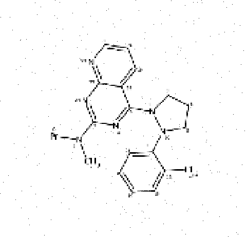 CC(C)N(C)c1nc(N2CCCN2c2ccccc2C(F)(F)F)c2cccnc2n1